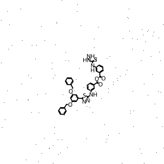 NNC(=S)Nc1cccc(C(=O)OC(=O)c2cccc(Nc3nnc(-c4cc(OCc5ccccc5)cc(OCc5ccccc5)c4)s3)c2)c1